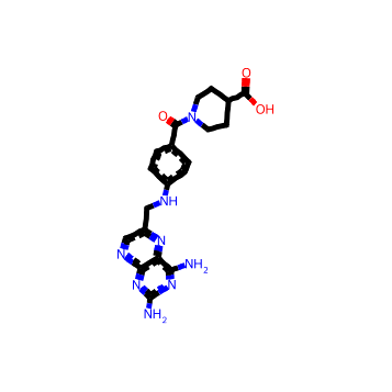 Nc1nc(N)c2nc(CNc3ccc(C(=O)N4CCC(C(=O)O)CC4)cc3)cnc2n1